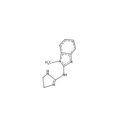 Cn1c(NC2=NCCN2)nc2ccccc21